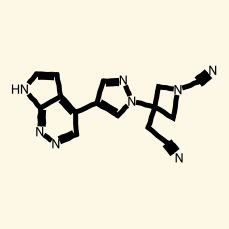 N#CCC1(n2cc(-c3cnnc4[nH]ccc34)cn2)CN(C#N)C1